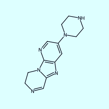 C1=NCCn2c1nc1cc(N3CCNCC3)cnc12